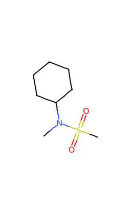 CN(C1CCCCC1)S(C)(=O)=O